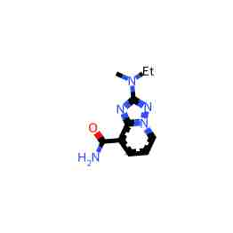 CCN(C)c1nc2c(C(N)=O)[c]ccn2n1